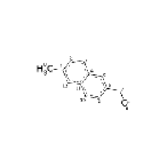 Cc1ccc2cc(C[O])ccc2c1